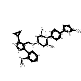 CC[C@H]1C[C@@H](OCc2c(-c3ccccc3OC(F)(F)F)noc2C2CC2)C[C@@H](C)N1c1ccc(-c2ccc(C(=O)O)s2)cc1